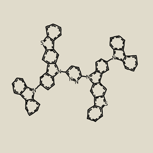 c1ccc2c(c1)sc1cc3c4cc(-n5c6ccccc6c6ccccc65)ccc4n(-c4ccc(-n5c6ccc(-n7c8ccccc8c8ccccc87)cc6c6cc7sc8ccccc8c7cc65)nn4)c3cc12